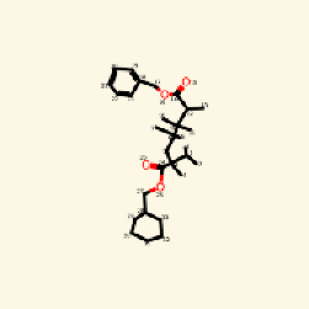 CC(C)C(C)(CC(C)(C)C(C)(C)C(C)C(=O)OCc1ccccc1)C(=O)OCC1CCCCC1